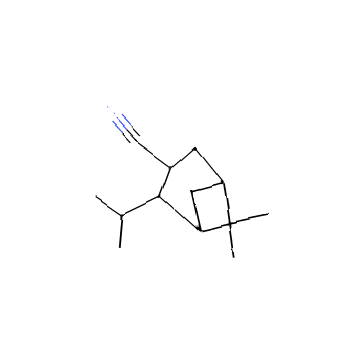 CC(C)C1C(C#N)CC2CC1C2(C)C